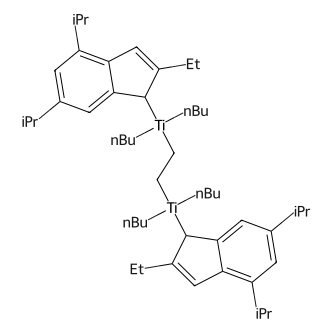 CCC[CH2][Ti]([CH2]CCC)([CH2][CH2][Ti]([CH2]CCC)([CH2]CCC)[CH]1C(CC)=Cc2c(C(C)C)cc(C(C)C)cc21)[CH]1C(CC)=Cc2c(C(C)C)cc(C(C)C)cc21